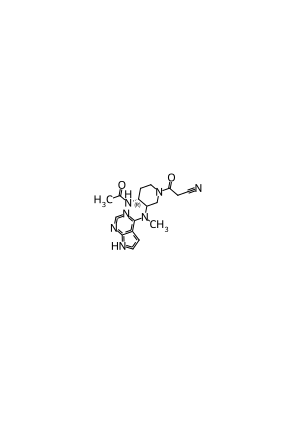 CC(=O)N[C@@H]1CCN(C(=O)CC#N)CC1N(C)c1ncnc2[nH]ccc12